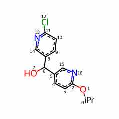 CC(C)Oc1ccc(C(O)c2ccc(Cl)nc2)cn1